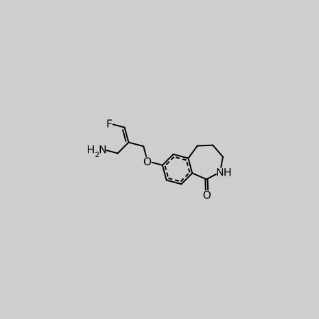 NC/C(=C\F)COc1ccc2c(c1)CCCNC2=O